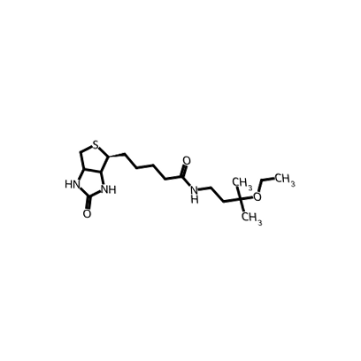 CCOC(C)(C)CCNC(=O)CCCC[C@@H]1SCC2NC(=O)NC21